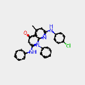 Cc1cc(Nc2ccc(Cl)cc2)nc2c1c(=O)cc(Nc1ccccc1)n2-c1ccccc1